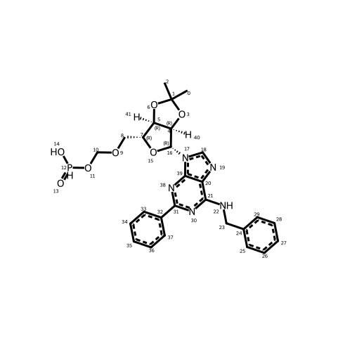 CC1(C)O[C@@H]2[C@H](O1)[C@@H](COCO[PH](=O)O)O[C@H]2n1cnc2c(NCc3ccccc3)nc(-c3ccccc3)nc21